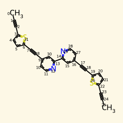 CC#Cc1ccc(C#Cc2ccnc(-c3cc(C#Cc4ccc(C#CC)s4)ccn3)c2)s1